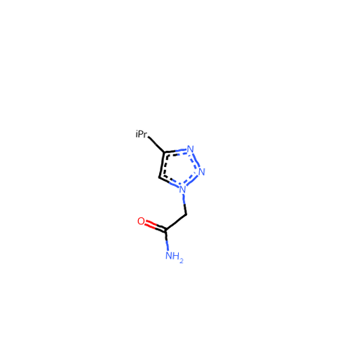 CC(C)c1cn(CC(N)=O)nn1